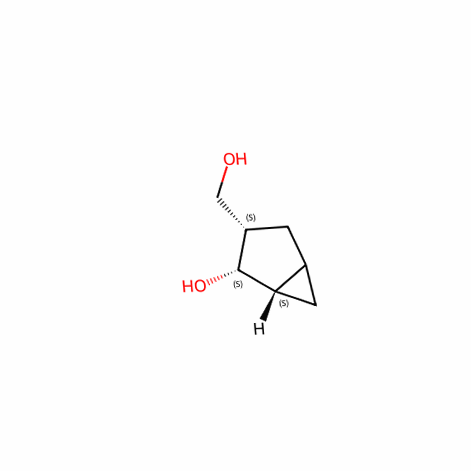 OC[C@@H]1CC2C[C@@H]2[C@@H]1O